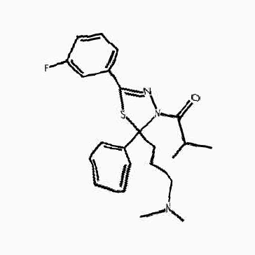 CC(C)C(=O)N1N=C(c2cccc(F)c2)SC1(CCCN(C)C)c1ccccc1